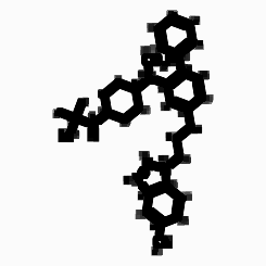 CCC(C)(C)NC1CCC(N(C(=O)O)c2cc(CCCn3nnc4cc(C#N)ccc43)ccc2-c2ccccc2)CC1